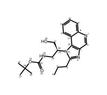 CCCc1nc2cnc3ccccc3c2n1[C@H](CO)CNC(=O)OC(C)(C)C